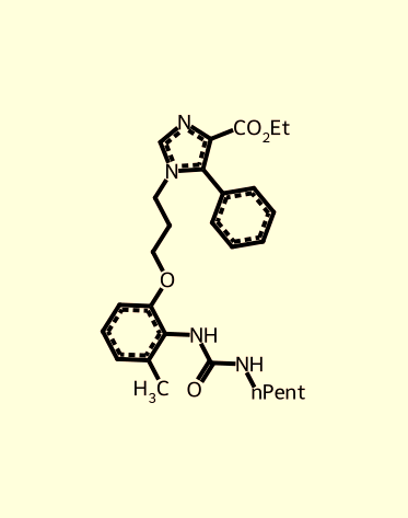 CCCCCNC(=O)Nc1c(C)cccc1OCCCn1cnc(C(=O)OCC)c1-c1ccccc1